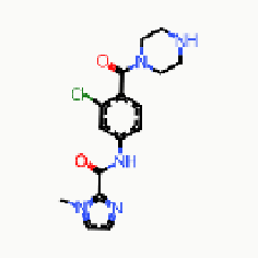 Cn1ccnc1C(=O)Nc1ccc(C(=O)N2CCNCC2)c(Cl)c1